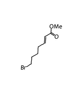 COC(=O)C=CCCCCBr